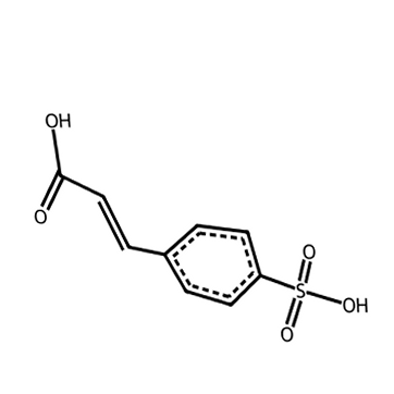 O=C(O)C=Cc1ccc(S(=O)(=O)O)cc1